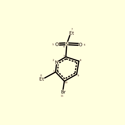 CCc1nc(S(=O)(=O)CC)ccc1Br